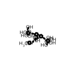 CN1CCN(CCNC(=O)Cn2c3cc(C#C[C@H]4O[C@H](CO)[C@@H](O)[C@H](O)[C@@H]4O)ccc3c3ccc(C#C[C@H]4O[C@H](CCO)[C@@H](O)[C@H](O)[C@@H]4O)cc32)CC1